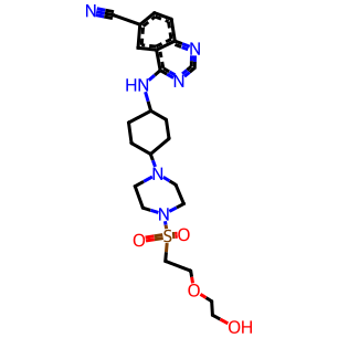 N#Cc1ccc2ncnc(NC3CCC(N4CCN(S(=O)(=O)CCOCCO)CC4)CC3)c2c1